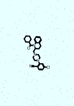 N#Cc1ccc(Cl)cc1N1CCN(CC2CCc3ccccc3N2C(=O)C2CCCCC2)CC1